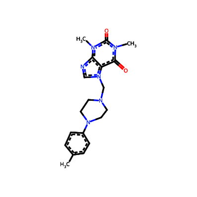 Cc1ccc(N2CCN(Cn3cnc4c3c(=O)n(C)c(=O)n4C)CC2)cc1